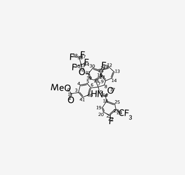 COC(=O)c1ccc(C(Cc2ccccc2)(NC(=O)c2ccc(F)c(C(F)(F)F)c2)c2cc(F)cc(OC(F)(F)C(F)F)c2)cc1